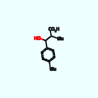 CC(C)(C)c1ccc(C(O)C(C(=O)O)C(C)(C)C)cc1